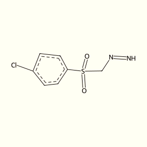 N=NCS(=O)(=O)c1ccc(Cl)cc1